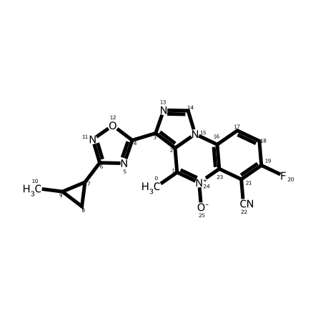 Cc1c2c(-c3nc(C4CC4C)no3)ncn2c2ccc(F)c(C#N)c2[n+]1[O-]